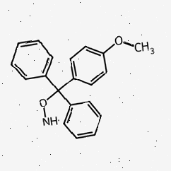 COc1ccc(C(O[NH])(c2ccccc2)c2ccccc2)cc1